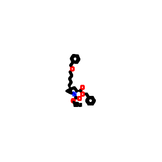 CC(C)(C)OC(=O)N1C2C[C@]2(CCCCCOCc2ccccc2)C[C@H]1C(=O)OCc1ccccc1